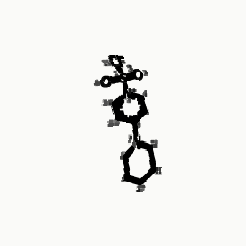 O=S(=O)([n+]1ccc(N2CCCCC2)cc1)C(F)(F)F